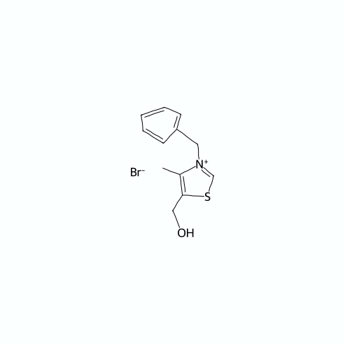 Cc1c(CO)sc[n+]1Cc1ccccc1.[Br-]